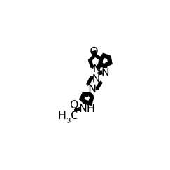 CC(=O)Nc1ccc(N2CCN(c3nc4cccc5c4n3CCC5=O)CC2)cc1